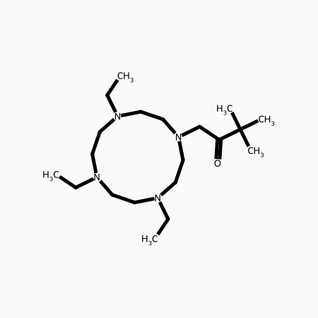 CCN1CCN(CC)CCN(CC(=O)C(C)(C)C)CCN(CC)CC1